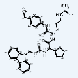 NC(=O)NCCC[C@H](NC(=O)C(NC(=O)OCC1c2ccccc2-c2ccccc21)C1CCCC1)C(=O)Nc1ccc(CO)cc1